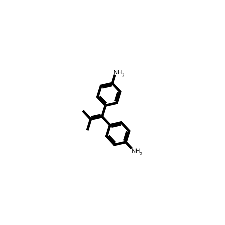 CC(C)=C(c1ccc(N)cc1)c1ccc(N)cc1